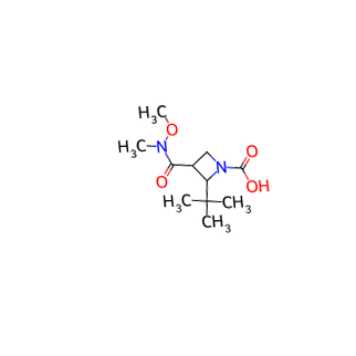 CON(C)C(=O)C1CN(C(=O)O)C1C(C)(C)C